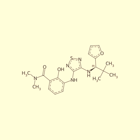 CN(C)C(=O)c1cccc(Nc2nsnc2N[C@@H](c2ccco2)C(C)(C)C)c1O